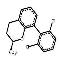 O=C(O)[C@H]1CCc2cccc(-c3c(Cl)cccc3Cl)c2O1